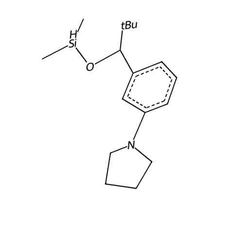 C[SiH](C)OC(c1cccc(N2CCCC2)c1)C(C)(C)C